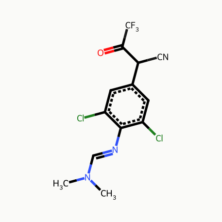 CN(C)C=Nc1c(Cl)cc(C(C#N)C(=O)C(F)(F)F)cc1Cl